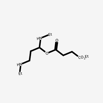 CCNCCC(NCC)OC(=O)CCC(=O)OCC